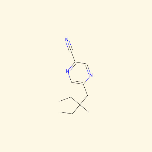 CCC(C)(CC)Cc1cnc(C#N)cn1